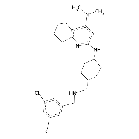 CN(C)c1nc(N[C@H]2CC[C@@H](CNCc3cc(Cl)cc(Cl)c3)CC2)nc2c1CCCC2